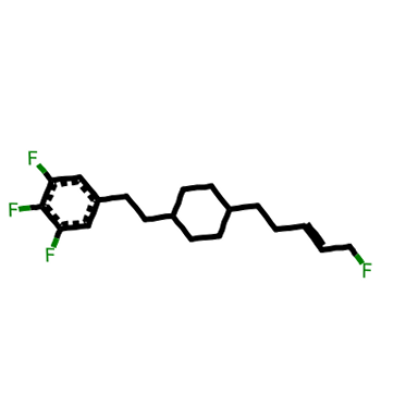 FCC=CCCC1CCC(CCc2cc(F)c(F)c(F)c2)CC1